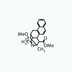 COC(=O)C1C2c3ccc4ccccc4c3CC3C[C@]1(C)N=C(C)[C@@]32C(=O)OC